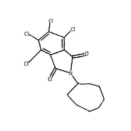 O=C1c2c(Cl)c(Cl)c(Cl)c(Cl)c2C(=O)N1C1CCCCCCC1